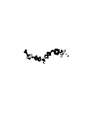 CS(=N)(=O)c1ccc(CC2CC3(C2)CN(C(=O)N2CC4(CC(n5cnc(C6CC6)n5)C4)C2)C3)cc1